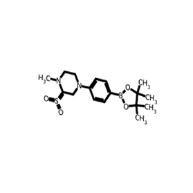 CN1CCN(c2ccc(B3OC(C)(C)C(C)(C)O3)cc2)CC1=S(=O)=O